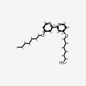 CCCCCCCOc1ccnc(-c2cc(OCCCCCCS)ccn2)c1